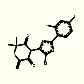 C=C1OC(C)(C)C(=O)C(c2nc(-c3ccc(F)cc3F)sc2CC)C1=O